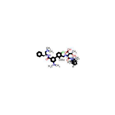 COc1c(-c2cc(C(=O)N[C@@H](Cc3ccccc3)CN(C)C)cc(N(C)C)c2)ccc(Cl)c1CN1OC(O)[C@@H]([C@H](C)O)[C@H]1C(=O)N[C@H]1C[C@H]2C[C@@H]([C@@H]1C)C2(C)C